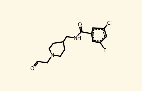 O=CCN1CCC(CNC(=O)c2cc(F)cc(Cl)c2)CC1